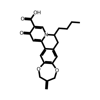 C=C1COc2cc3c(cc2OC1)-c1cc(=O)c(C(=O)O)cn1C(CCCC)C3